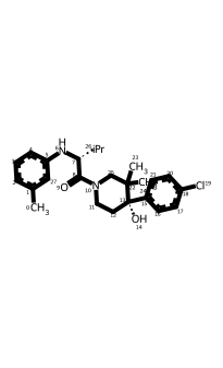 Cc1cccc(N[C@@H](C(=O)N2CC[C@](O)(c3ccc(Cl)cc3)C(C)(C)C2)C(C)C)c1